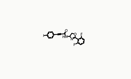 O=C(C#Cc1ccc(I)cc1)NC1COC(c2c(F)cccc2F)=N1